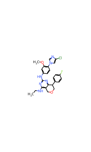 CCNc1nc(Nc2ccc(-n3cnc(Cl)c3)c(OC)c2)nc2c1COCC2c1ccc(F)cc1